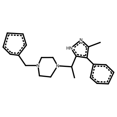 Cc1n[nH]c(C(C)N2CCN(Cc3ccccc3)CC2)c1-c1ccccc1